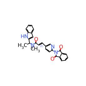 CC(c1cc2ccccc2[nH]1)N(C)C(=O)/C=C/c1ccc(N2C(=O)c3ccccc3C2=O)nc1